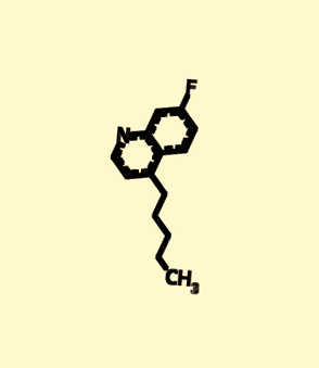 CCCCCc1ccnc2cc(F)ccc12